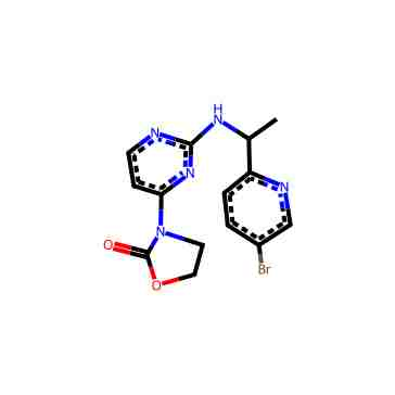 CC(Nc1nccc(N2CCOC2=O)n1)c1ccc(Br)cn1